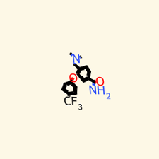 CN(C)Cc1ccc(C(N)=O)cc1Oc1ccc(C(F)(F)F)cc1